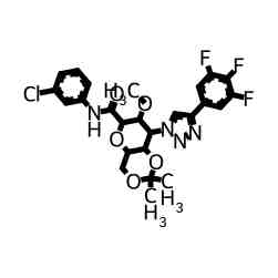 COC1C(C(=O)Nc2cccc(Cl)c2)OC2COC(C)(C)OC2C1n1cc(-c2cc(F)c(F)c(F)c2)nn1